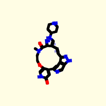 CN1CCOc2c[nH]c(=O)cc2-c2cc3c(n[nH]c3cn2)/C=C/C(=C/NC2CCNCC2)C(=N)C1=O